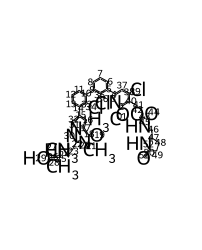 COc1nc(-c2cccc(-c3cccc(-c4cc5c(=O)n(C)c(CNCC(C)(C)O)nn5c4)c3Cl)c2Cl)cc(Cl)c1COC(=O)NCC1CCC(=O)N1